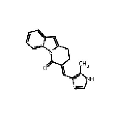 Cc1[nH]cnc1C=C1CCc2cc3ccccc3n2C1=O